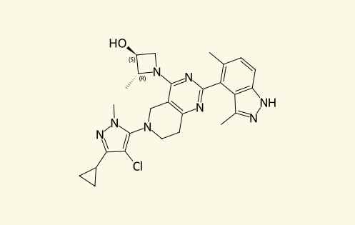 Cc1ccc2[nH]nc(C)c2c1-c1nc2c(c(N3C[C@H](O)[C@H]3C)n1)CN(c1c(Cl)c(C3CC3)nn1C)CC2